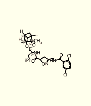 CC(C)C[C@H](NC(=O)C1CC(CNC(=O)c2cc(Cl)ccc2Cl)=NO1)B1O[C@@H]2C[C@@H]3C[C@@H](C3(C)C)[C@]2(C)O1